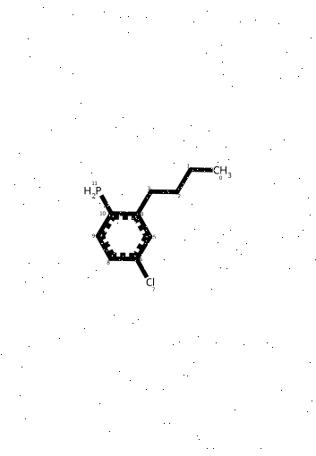 CCCCc1cc(Cl)ccc1P